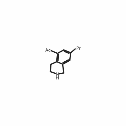 CC(=O)c1cc(C(C)C)cc2c1CCNC2